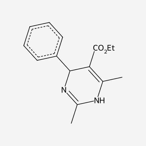 CCOC(=O)C1=C(C)NC(C)=NC1c1ccccc1